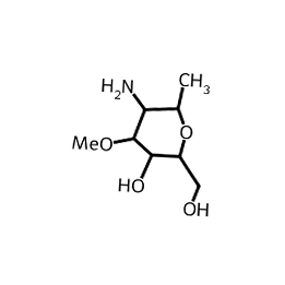 COC1C(N)C(C)OC(CO)C1O